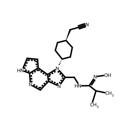 CC(C)C(=NO)NCc1nc2cnc3[nH]ccc3c2n1[C@H]1CC[C@H](CC#N)CC1